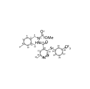 COC(=O)N(Cc1ccc(C)cc1C)NC(=O)c1cc(C)nnc1Sc1cccc(C(F)(F)F)c1